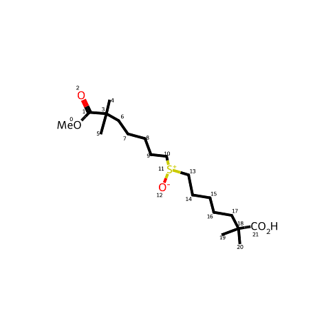 COC(=O)C(C)(C)CCCCC[S+]([O-])CCCCCC(C)(C)C(=O)O